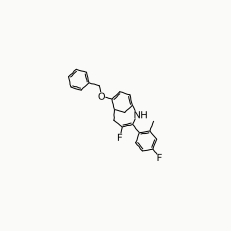 Cc1cc(F)ccc1C1=C(F)CC2CC(=CC=C2OCc2ccccc2)N1